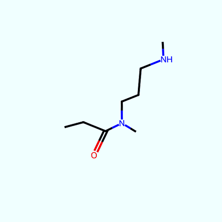 CCC(=O)N(C)CCCNC